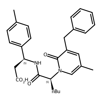 CCCC[C@@H](C(=O)N[C@@H](CC(=O)O)c1ccc(C)cc1)n1cc(C)cc(Cc2ccccc2)c1=O